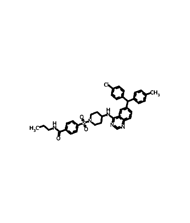 CCCNC(=O)c1ccc(S(=O)(=O)N2CCC(Nc3ncnc4ccc(C(c5ccc(C)cc5)c5ccc(Cl)cc5)cc34)CC2)cc1